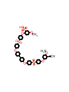 C#Cc1cc(Oc2ccc(S(=O)(=O)c3ccc(Oc4ccc(-c5ccc(Oc6ccc(S(=O)(=O)c7ccc(Oc8ccc(OC)cc8S(=O)(=O)O)cc7)cc6)cc5)cc4)cc3)cc2)ccc1OC